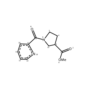 COC(=O)C1CCN(C(=O)c2ccccn2)C1